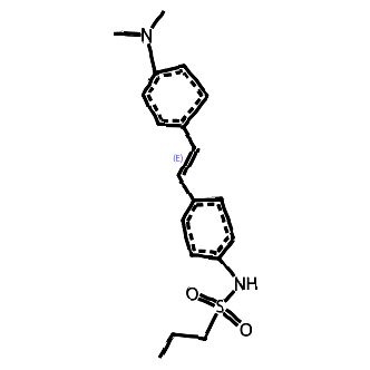 CCCS(=O)(=O)Nc1ccc(/C=C/c2ccc(N(C)C)cc2)cc1